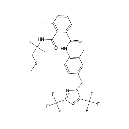 CSCC(C)(C)NC(=O)c1c(C)cccc1C(=O)Nc1ccc(Cn2nc(C(F)(F)F)cc2C(F)(F)F)cc1C